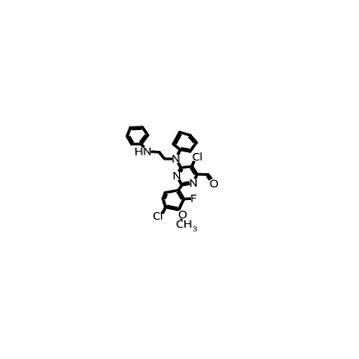 COc1c(Cl)ccc(-c2nc(C=O)c(Cl)c(N(CCNc3ccccc3)c3ccccc3)n2)c1F